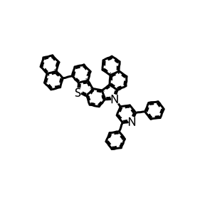 c1ccc(-c2cc(-n3c4ccc5ccccc5c4c4c5c(ccc43)sc3c(-c4cccc6ccccc46)cccc35)cc(-c3ccccc3)n2)cc1